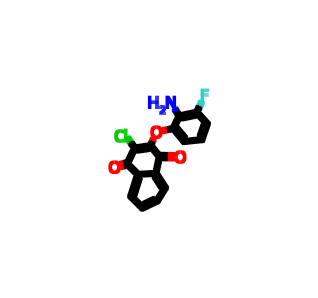 Nc1c(F)cccc1OC1=C(Cl)C(=O)c2ccccc2C1=O